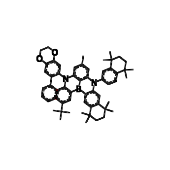 Cc1cc2c3c(c1)N(c1cc4c(cc1-c1ccccc1)OCCO4)c1ccc(C(C)(C)C)cc1B3c1cc3c(cc1N2c1ccc2c(c1)C(C)(C)CCC2(C)C)C(C)(C)CCC3(C)C